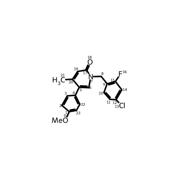 COc1ccc(-c2cn(Cc3ccc(Cl)cc3F)c(=O)cc2C)cc1